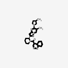 Cc1cn2nc([C@@H]3CCCCN3C(=O)c3cnnc4ccccc34)cc2nc1N1CCC(C)C1